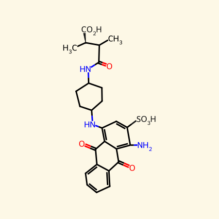 CC(C(=O)NC1CCC(Nc2cc(S(=O)(=O)O)c(N)c3c2C(=O)c2ccccc2C3=O)CC1)[C@@H](C)C(=O)O